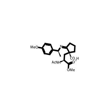 COC(=O)[C@H](C[C@@]1(C(=O)O)CCCC1=N[C@@H](C)c1ccc(OC)cc1)NC(C)=O